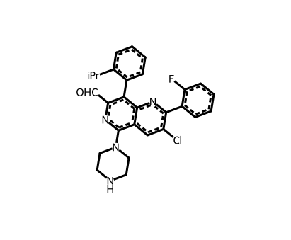 CC(C)c1ccccc1-c1c(C=O)nc(N2CCNCC2)c2cc(Cl)c(-c3ccccc3F)nc12